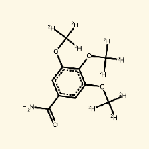 [2H]C([2H])([2H])Oc1cc(C(N)=O)cc(OC([2H])([2H])[2H])c1OC([2H])([2H])[2H]